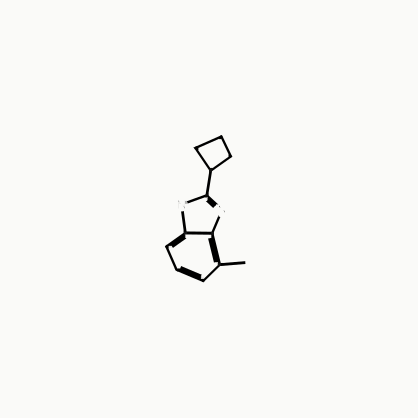 [CH2]c1cccc2[nH]c(C3CCC3)nc12